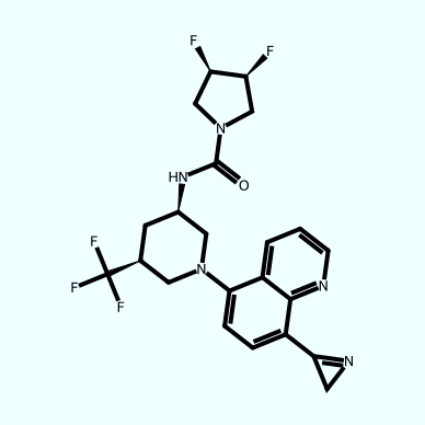 O=C(N[C@@H]1C[C@H](C(F)(F)F)CN(c2ccc(C3=NC3)c3ncccc23)C1)N1C[C@@H](F)[C@@H](F)C1